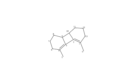 CC1=C2C3=C(C)CCCC3C2CCC1